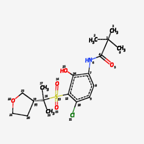 CC(C)(C)C(=O)Nc1ccc(Cl)c(S(=O)(=O)C(C)(C)[C@@H]2CCOC2)c1O